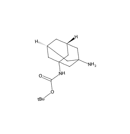 CC(C)(C)OC(=O)NC12C[C@@H]3C[C@@H](CC(N)(C3)C1)C2